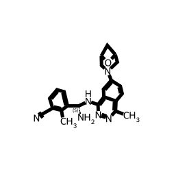 Cc1c(C#N)cccc1[C@@H](N)Nc1nnc(C)c2ccc(N3CC4CC(C3)O4)cc12